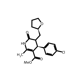 COC(=O)C1=C(C)NC(=O)C(C[C@H]2CCCO2)[C@H]1c1ccc(Cl)cc1